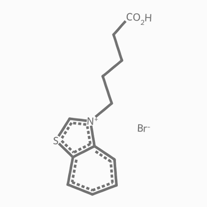 O=C(O)CCCC[n+]1csc2ccccc21.[Br-]